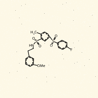 COc1cccc(CCNS(=O)(=O)c2cc(S(=O)(=O)c3ccc(F)cc3)ccc2C)c1